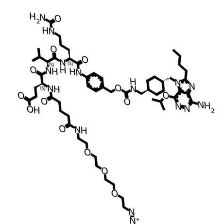 CCCCc1nc2c(N)nnc(OC(C)C)c2n1C[C@H]1CC[C@H](CNC(=O)OCc2ccc(NC(=O)[C@H](CCCNC(N)=O)NC(=O)[C@@H](NC(=O)[C@H](CCC(=O)O)NC(=O)CCCC(=O)NCCOCCOCCOCCN=[N+]=[N-])C(C)C)cc2)CC1